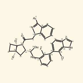 CC(=O)c1nn(CC(=O)N2[C@@H]3CC[C@@H]3C[C@H]2C(O)Nc2cccc(-c3ccc4nc[nH]c4c3Cl)c2F)c2ccccc12